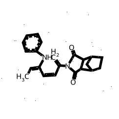 C=C(/C=C\C(=C/C)Nc1ccccc1)N1C(=O)C2C3CCC(C3)C2C1=O